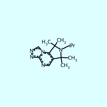 CC(C)N1C(C)(C)c2cnc3nncn3c2C1(C)C